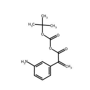 C=C(C(=O)OC(=O)OC(C)(C)C)c1cccc(N)c1